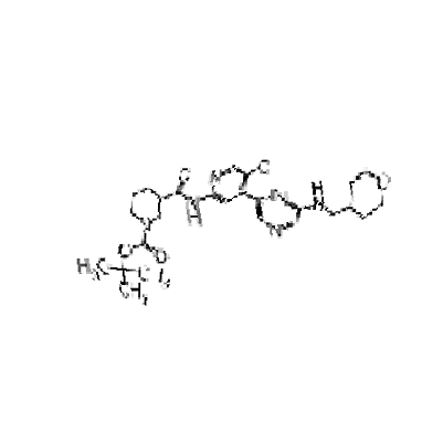 CC(C)(C)OC(=O)N1CCCC(C(=O)Nc2cc(-c3cncc(NCC4CCOCC4)n3)c(Cl)cn2)C1